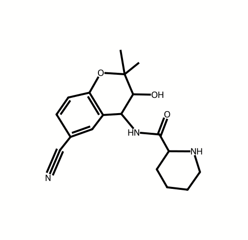 CC1(C)Oc2ccc(C#N)cc2C(NC(=O)C2CCCCN2)C1O